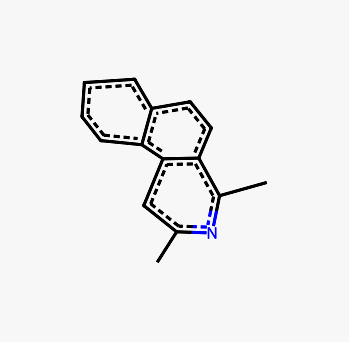 Cc1cc2c(ccc3ccccc32)c(C)n1